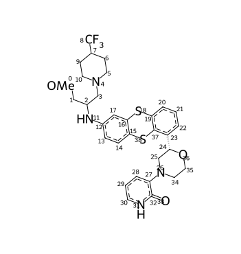 COCC(CN1CCC(C(F)(F)F)CC1)Nc1ccc2c(c1)Sc1cccc([C@H]3CN(c4ccc[nH]c4=O)CCO3)c1S2